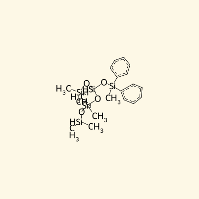 C[SiH](C)O[SiH](O[Si](C)(C)O[SiH](C)C)O[Si](C)(c1ccccc1)c1ccccc1